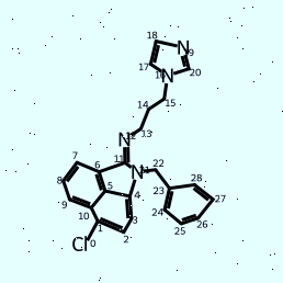 Clc1ccc2c3c(cccc13)C(=NCCCn1ccnc1)N2Cc1ccccc1